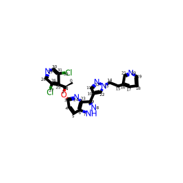 C[C@@H](Oc1ccc2[nH]nc(-c3cnn(CCc4cccnc4)c3)c2n1)c1c(Cl)cncc1Cl